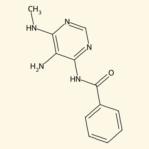 CNc1ncnc(NC(=O)c2ccccc2)c1N